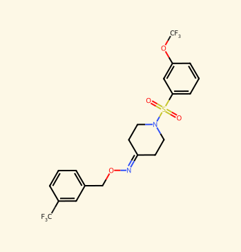 O=S(=O)(c1cccc(OC(F)(F)F)c1)N1CCC(=NOCc2cccc(C(F)(F)F)c2)CC1